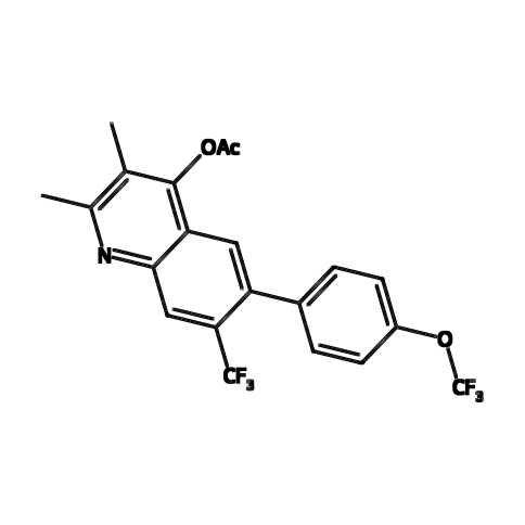 CC(=O)Oc1c(C)c(C)nc2cc(C(F)(F)F)c(-c3ccc(OC(F)(F)F)cc3)cc12